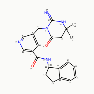 CCC1(CC)CC(=O)N(Cc2cncc(C(=O)N[C@H]3CCc4ccccc43)c2)C(=N)N1